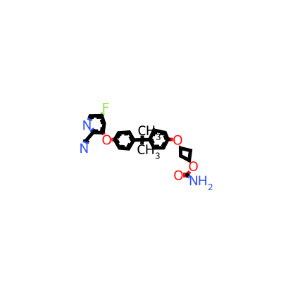 CC(C)(c1ccc(Oc2cc(F)cnc2C#N)cc1)c1ccc(O[C@H]2C[C@H](OC(N)=O)C2)cc1